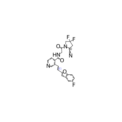 N#C[C@@H]1CC(F)(F)CN1C(=O)CNC(=O)c1ccncc1/C=C/c1cc2cc(F)ccc2o1